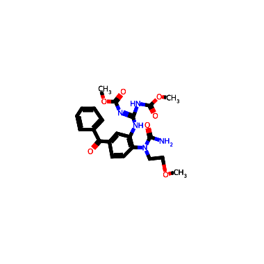 COCCN(C(N)=O)c1ccc(C(=O)c2ccccc2)cc1NC(=NC(=O)OC)NC(=O)OC